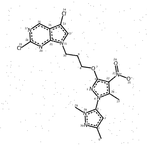 Cc1cc(-n2nc(OCCCn3cc(Cl)c4cnc(Cl)nc43)c([N+](=O)[O-])c2C)n(C)n1